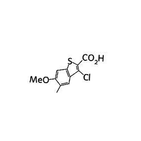 COc1cc2sc(C(=O)O)c(Cl)c2cc1C